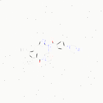 COc1cc(C)c(Sc2cnc(NC(=O)c3ccc(N4CCNCC4)cc3)s2)cc1C(=O)N1CCOCC1